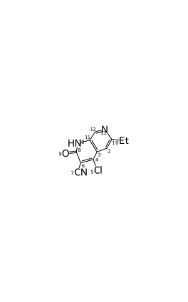 CCc1cc2c(Cl)c(C#N)c(=O)[nH]c2cn1